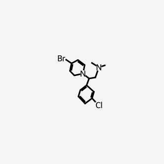 CN(C)CC(c1cccc(Cl)c1)N1C=CC(Br)=CC1